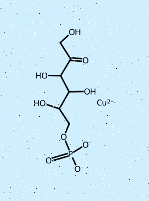 O=C(CO)C(O)C(O)C(O)COP(=O)([O-])[O-].[Cu+2]